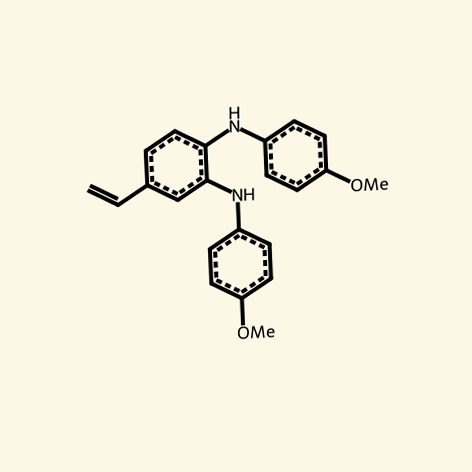 C=Cc1ccc(Nc2ccc(OC)cc2)c(Nc2ccc(OC)cc2)c1